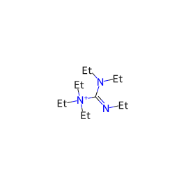 CC/N=C(\N(CC)CC)[N+](CC)(CC)CC